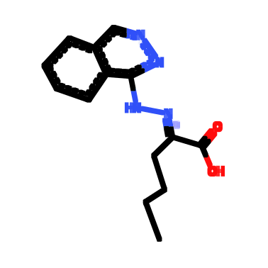 CCCC/C(=N\Nc1nncc2ccccc12)C(=O)O